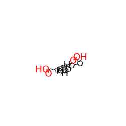 C[C@]12CC[C@H]3[C@@H](CC=C4C=C(c5ccccc5C(=O)O)C=C[C@@]43C)[C@@H]1CC[C@@H]2CCCC(=O)O